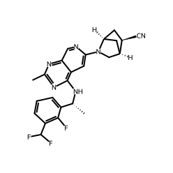 Cc1nc(N[C@H](C)c2cccc(C(F)F)c2F)c2cc(N3C[C@H]4C[C@@H]3C[C@H]4C#N)ncc2n1